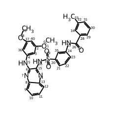 COc1cc(Nc2nc3ccccc3nc2NS(=O)(=O)c2cccc(NC(=O)c3cccc(C)c3)c2)cc(OC)c1